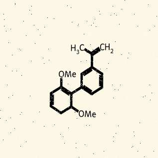 C=C(C)c1cccc(C2=C(OC)C=CCC2OC)c1